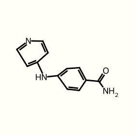 NC(=O)c1ccc(Nc2ccncc2)cc1